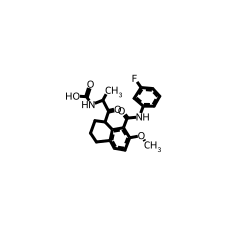 COc1ccc2c(c1C(=O)Nc1cccc(F)c1)C(C(=O)C(C)NC(=O)O)CCC2